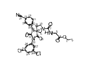 CCOC(=O)CNC(=O)N1C[C@@H](c2ccc(C#N)cc2)[C@]2(C1)C(=O)N(c1cc(Cl)cc(Cl)c1)C(=O)N2C